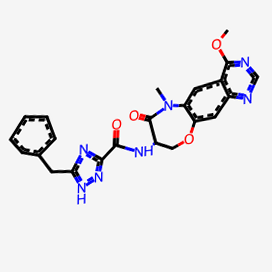 COc1ncnc2cc3c(cc12)N(C)C(=O)C(NC(=O)c1n[nH]c(Cc2ccccc2)n1)CO3